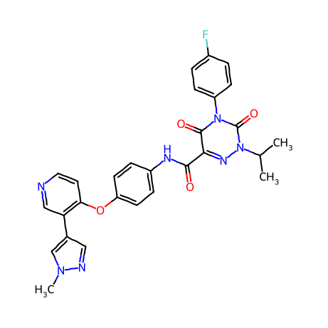 CC(C)n1nc(C(=O)Nc2ccc(Oc3ccncc3-c3cnn(C)c3)cc2)c(=O)n(-c2ccc(F)cc2)c1=O